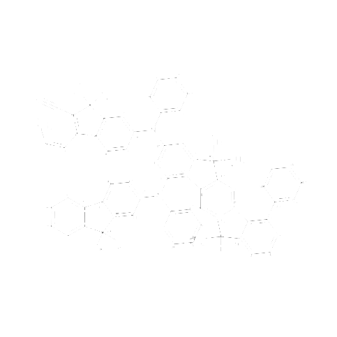 C#CC1=C(/C=C\C)c2ccc(N(c3ccccc3)c3cc(N(c4ccccc4)c4ccc5c(c4)C(C)(C)c4ccccc4-5)c4c(c3)C(C)(C)c3cc5c(cc3-4)C(C)(I)c3cccc(-c4ccccc4)c3-5)cc2C1(C)C